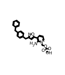 Nc1c(-c2cc(Cc3ccc(Cc4ccccc4)cc3)no2)ccc[n+]1COP(=O)([O-])O